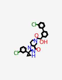 O=C([C@H](O)c1cccc(-c2cccc(Cl)c2)c1)N1CCc2nc(C3(c4cccc(Cl)c4)CC3)[nH]c(=O)c2C1